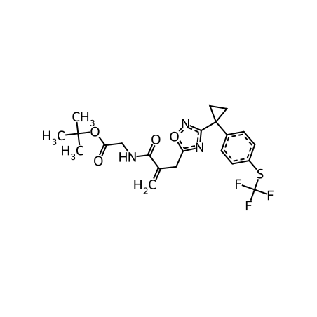 C=C(Cc1nc(C2(c3ccc(SC(F)(F)F)cc3)CC2)no1)C(=O)NCC(=O)OC(C)(C)C